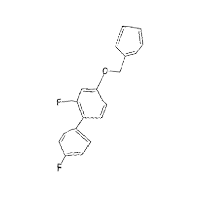 Fc1ccc(-c2ccc(OCc3ccccc3)cc2F)cc1